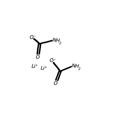 NC(=O)[O-].NC(=O)[O-].[Li+].[Li+]